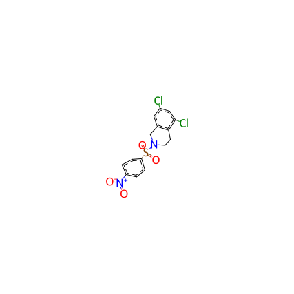 O=[N+]([O-])c1ccc(S(=O)(=O)N2CCc3c(Cl)cc(Cl)cc3C2)cc1